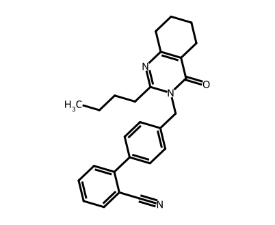 CCCCc1nc2c(c(=O)n1Cc1ccc(-c3ccccc3C#N)cc1)CCCC2